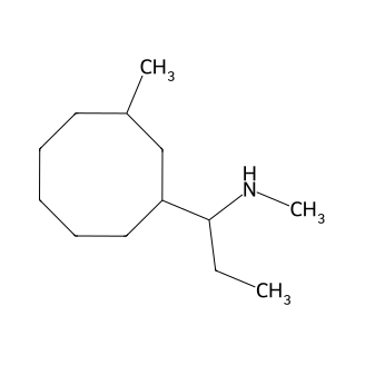 CCC(NC)C1CCCCCC(C)C1